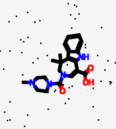 CN1CCN(C(=O)N2C=C(C(=O)O)c3[nH]c4ccccc4c3C(C)(C)C2)CC1